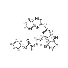 CCc1[nH]c2nc(Sc3cnc4cccnc4n3)nc(N3CC(NC(=O)Oc4ccccc4)C3)c2c1Br